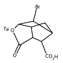 O=C(O)C1C2CC3C(OC(=O)C31)C2Br.[Ta]